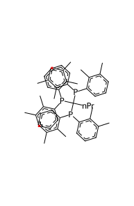 CCCC(P(c1cccc(C)c1C)c1cccc(C)c1C)(P(c1cccc(C)c1C)c1cccc(C)c1C)P(c1cccc(C)c1C)c1cccc(C)c1C